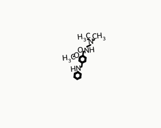 CCN(CC)CCNC(=O)c1ccc(CNc2ccccc2)cc1OC